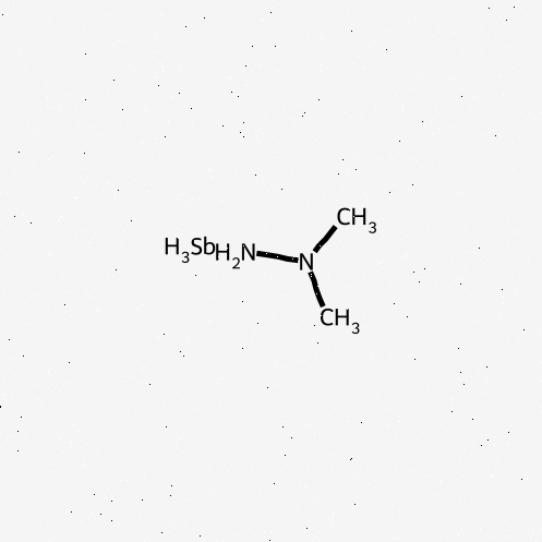 CN(C)N.[SbH3]